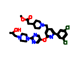 COC(=O)CC1CCN(Cc2cc(Oc3cnc(N4CCN(CC(C)O)CC4)nc3)nc(-c3cc(Cl)cc(Cl)c3)c2)CC1